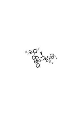 COc1ccc(F)cc1-c1ccnc2c1cc(C1=C(C#N)CN(C(=O)OC(C)(C)C)CC1)n2S(=O)(=O)c1ccccc1